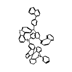 C1=CC2=C(CC1)N(c1ccccc1)c1ccccc1C21c2ccccc2-c2cc(N(c3ccccc3)c3cccc4sc5ccc(C(C6=CCC(c7cccc8ccccc78)C=C6)c6ccc(-c7cccc8ccccc78)cc6)cc5c34)ccc21